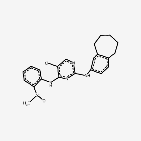 C[S+]([O-])c1ccccc1Nc1nc(Nc2ccc3c(c2)CCCCC3)ncc1Cl